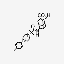 Cc1ccc(N2CCN(C(C)(C)C(=O)NC3C4CC5CC3CC(C(=O)O)(C5)C4)CC2)cc1